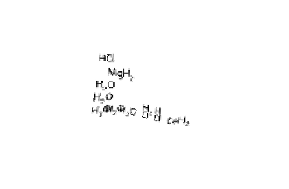 Cl.Cl.O.O.O.O.O.O.[CaH2].[MgH2]